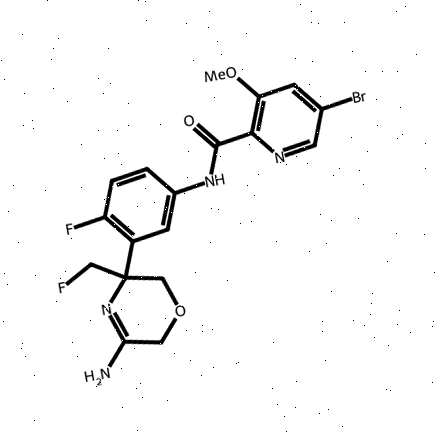 COc1cc(Br)cnc1C(=O)Nc1ccc(F)c(C2(CF)COCC(N)=N2)c1